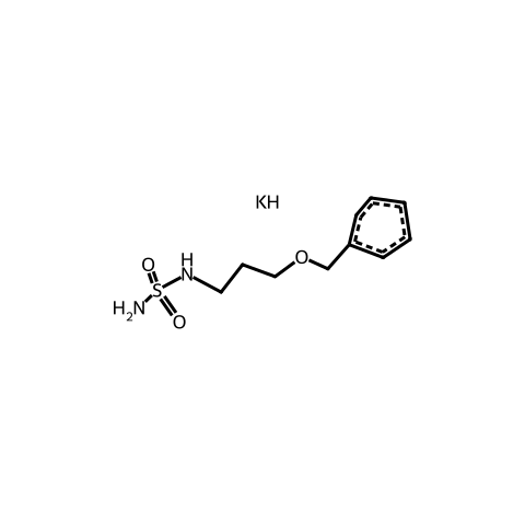 NS(=O)(=O)NCCCOCc1ccccc1.[KH]